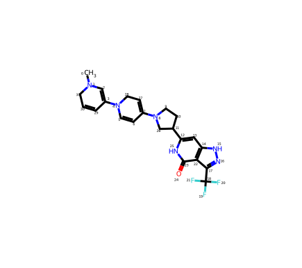 CN1C=C(N2C=CC(N3CCC(c4cc5[nH]nc(C(F)(F)F)c5c(=O)[nH]4)C3)=CC2)C=CC1